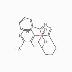 O=C(c1ccnc(C(F)(F)F)c1F)N1C2CCCC1c1nnc(-c3ccccn3)n1C2